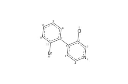 Clc1[c]nccc1-c1ccccc1Br